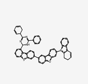 C1=CCC(C2=NC(c3cccc4sc5cc(-c6ccc7oc8cc(-n9c%10c(c%11ccccc%119)C=CCC%10)ccc8c7c6)ccc5c34)NC(c3ccccc3)=N2)C=C1